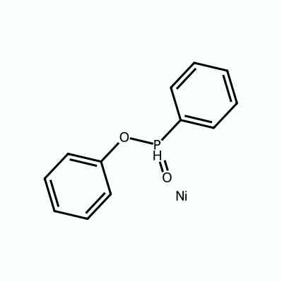 O=[PH](Oc1ccccc1)c1ccccc1.[Ni]